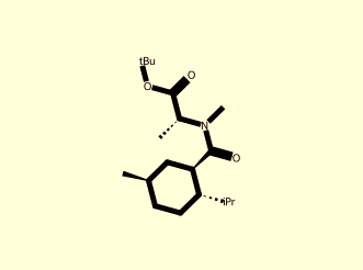 CC(C)[C@@H]1CC[C@@H](C)C[C@H]1C(=O)N(C)[C@H](C)C(=O)OC(C)(C)C